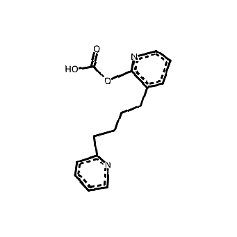 O=C(O)Oc1ncccc1CCCCc1ccccn1